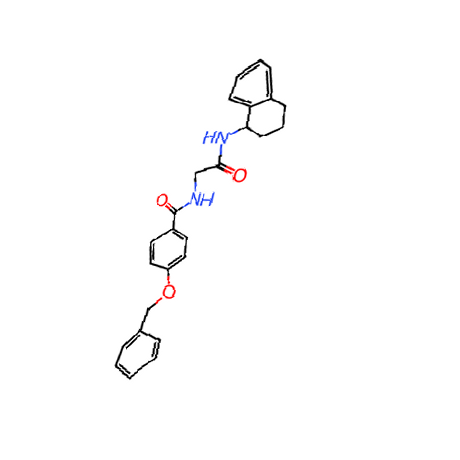 O=C(CNC(=O)c1ccc(OCc2ccccc2)cc1)NC1CCCc2ccccc21